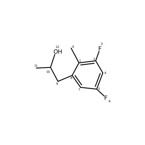 Cc1c(F)cc(F)cc1CC(C)O